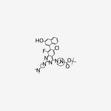 CN(C)C1CN(c2nc(N3CC4CCCC3CN4C(=O)OC(C)(C)C)c3cc(Cl)c(-c4cc(O)cc5ccccc45)c(F)c3n2)C1